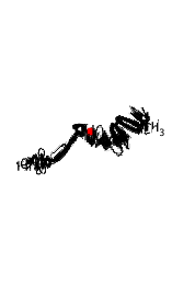 Cn1c2ccncc2c2ccc(-c3ccc(O[C@H]4C[C@](O)(CN5CCN(c6cccc(C#CCOc7ccc8c(c7)C(=O)N(C7CCC(=O)NC7=O)C8=O)c6)CC5)C4)nc3)cc21